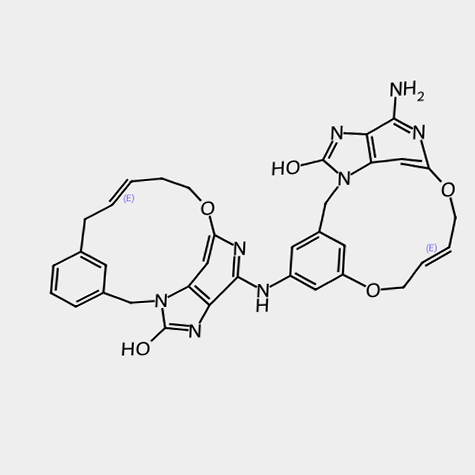 Nc1nc2cc3c1nc(O)n3Cc1cc(Nc3nc4cc5c3nc(O)n5Cc3cccc(c3)C/C=C/CCO4)cc(c1)OC/C=C/CO2